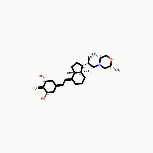 C=C1[C@H](O)CC(=C/C=C2\CCC[C@]3(C)[C@@H](C(C)CN4C[C@@H](C)OC[C@H]4C)CC[C@@H]23)C[C@H]1O